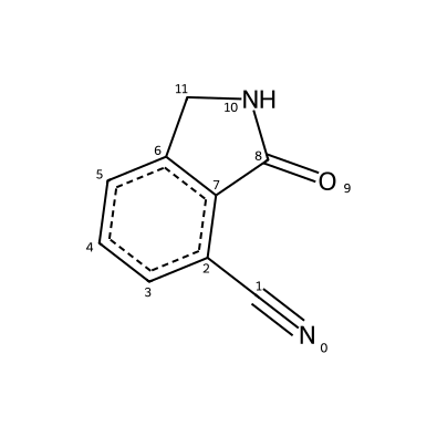 N#Cc1cccc2c1C(=O)NC2